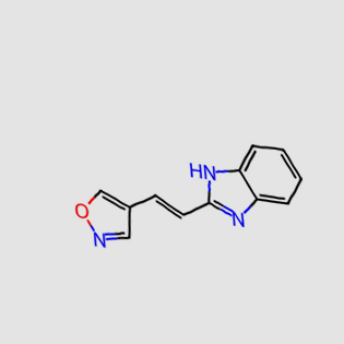 C(=Cc1nc2ccccc2[nH]1)c1cnoc1